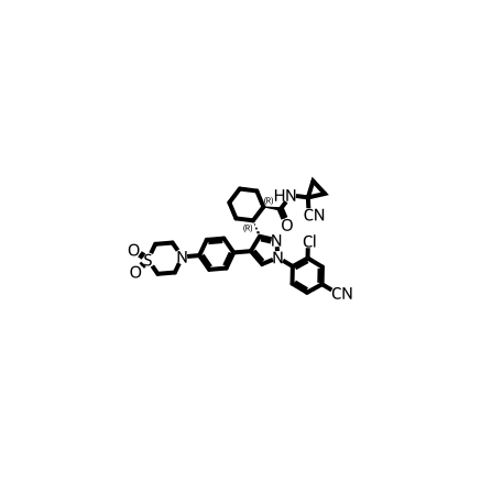 N#Cc1ccc(-n2cc(-c3ccc(N4CCS(=O)(=O)CC4)cc3)c([C@@H]3CCCC[C@H]3C(=O)NC3(C#N)CC3)n2)c(Cl)c1